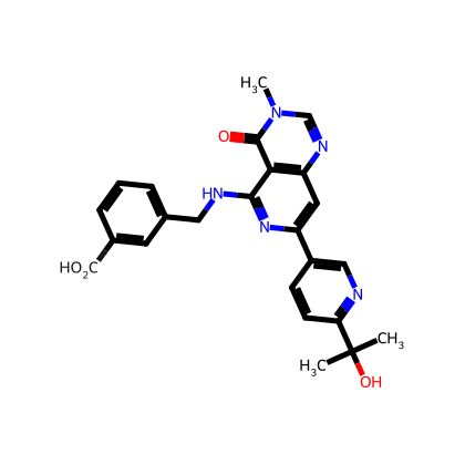 Cn1cnc2cc(-c3ccc(C(C)(C)O)nc3)nc(NCc3cccc(C(=O)O)c3)c2c1=O